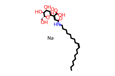 CCCCCCCC/C=C\CCCCCCCCNC(=O)/C=C(\C(=O)O)C1O[C@H](CO)[C@@H](O)[C@H](O)[C@H]1O.[Na]